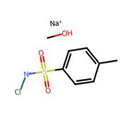 CO.Cc1ccc(S(=O)(=O)[N-]Cl)cc1.[Na+]